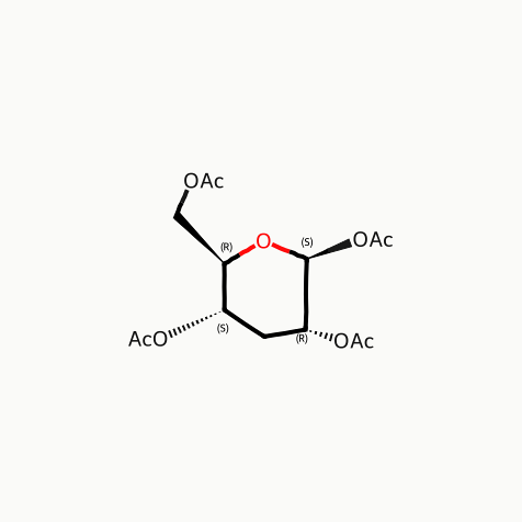 CC(=O)OC[C@H]1O[C@@H](OC(C)=O)[C@H](OC(C)=O)C[C@@H]1OC(C)=O